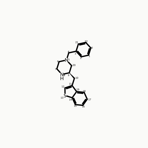 c1ccc(CN2CCN[C@H](Cc3csc4ccccc34)C2)cc1